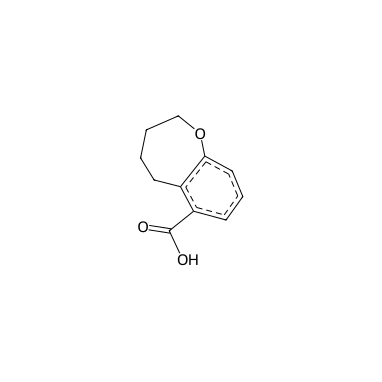 O=C(O)c1cccc2c1CCCCO2